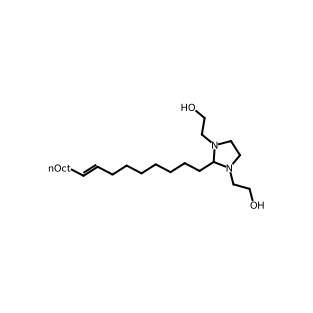 CCCCCCCCC=CCCCCCCCC1N(CCO)CCN1CCO